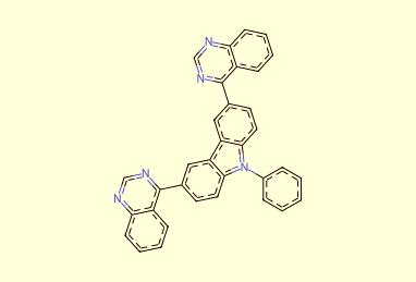 c1ccc(-n2c3ccc(-c4ncnc5ccccc45)cc3c3cc(-c4ncnc5ccccc45)ccc32)cc1